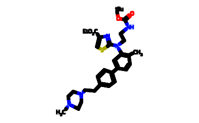 CCOC(=O)c1csc(N(CCNC(=O)OC(C)(C)C)c2cc(-c3ccc(CCN4CCN(C)CC4)cc3)ccc2C)n1